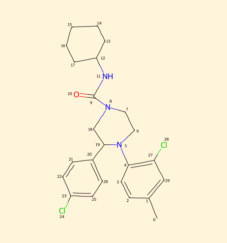 Cc1ccc(N2CCN(C(=O)NC3CCCCC3)CC2c2ccc(Cl)cc2)c(Cl)c1